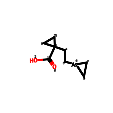 O=C(O)C1(CC[As]2CC2)CC1